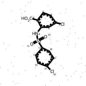 O=C(O)c1ccc(Cl)cc1NS(=O)(=O)c1ccc(Cl)cc1